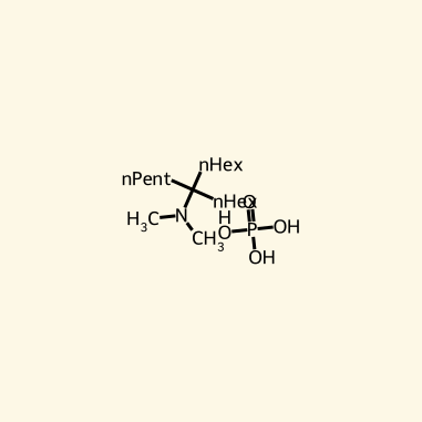 CCCCCCC(CCCCC)(CCCCCC)N(C)C.O=P(O)(O)O